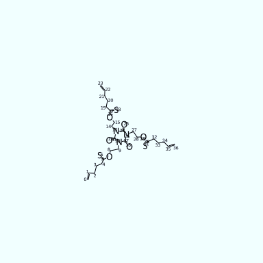 C=CCCCC(=S)OCCn1c(=O)n(CCOC(=S)CCCC=C)c(=O)n(CCOC(=S)CCCC=C)c1=O